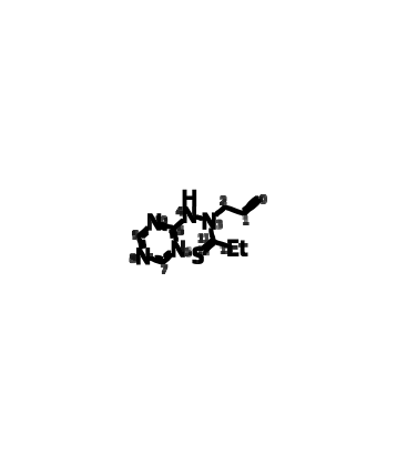 C=CCN(Nc1ncncn1)C(=S)CC